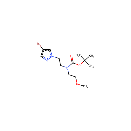 COCCN(CCn1cc(Br)cn1)C(=O)OC(C)(C)C